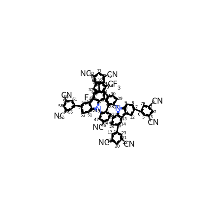 N#Cc1cc(C#N)cc(-c2ccc3c(c2)c2cc(-c4cc(C#N)cc(C#N)c4)ccc2n3-c2ccc(-c3c(C(F)(F)F)cccc3C(F)(F)F)cc2-c2ccc(C#N)cc2-n2c3ccc(-c4cc(C#N)cc(C#N)c4)cc3c3cc(-c4cc(C#N)cc(C#N)c4)ccc32)c1